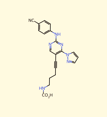 N#Cc1ccc(Nc2ncc(C#CCCCNC(=O)O)c(-n3cccn3)n2)cc1